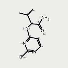 CC(C)C(Nc1ccnc(Cl)n1)C(N)=O